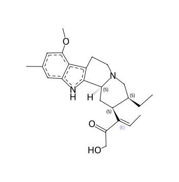 C/C=C(/C(=O)CO)[C@H]1C[C@H]2c3[nH]c4cc(C)cc(OC)c4c3CCN2C[C@H]1CC